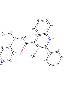 CCC(NC(=O)c1c(C)c(-c2ccccc2)nc2ccccc12)c1ccncc1